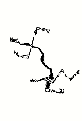 CCCCC[Si](CCC[Si](CCCCC)(OC)OC)(OC)OC